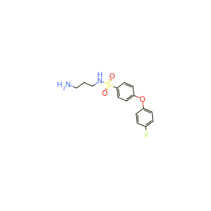 NCCCNS(=O)(=O)c1ccc(Oc2ccc(F)cc2)cc1